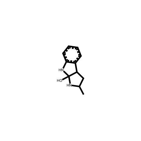 CC1CC2c3ccccc3NC2(O)N1